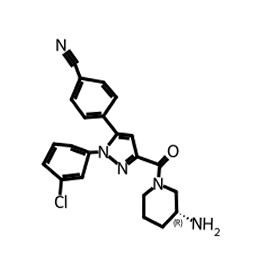 N#Cc1ccc(-c2cc(C(=O)N3CCC[C@@H](N)C3)nn2-c2cccc(Cl)c2)cc1